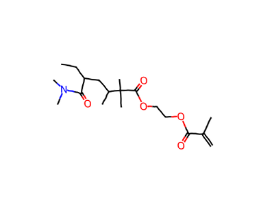 C=C(C)C(=O)OCCOC(=O)C(C)(C)C(C)CC(CC)C(=O)N(C)C